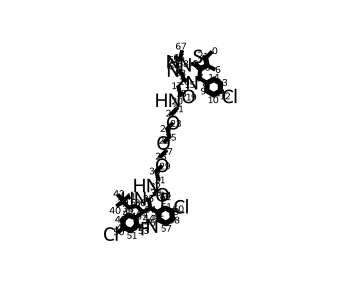 Cc1sc2c(c1C)C(c1ccc(Cl)cc1)=N[C@@H](CC(=O)NCCOCCOCCOCCNC(=O)[C@@H]1NC(CC(C)(C)C)[C@](C#N)(c3ccc(Cl)cc3F)C1c1cccc(Cl)c1F)c1nnc(C)n1-2